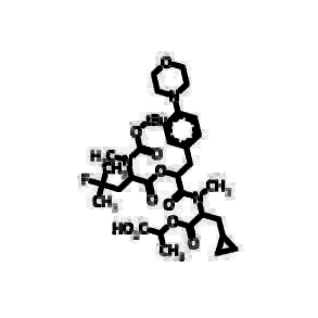 CC(OC(=O)C(CC1CC1)N(C)C(=O)C(Cc1ccc(N2CCOCC2)cc1)OC(=O)C(CC(C)(C)F)N(C)C(=O)OC(C)(C)C)C(=O)O